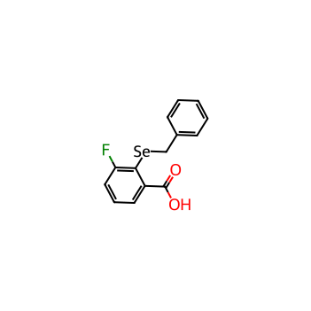 O=C(O)c1cccc(F)c1[Se]Cc1ccccc1